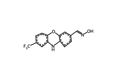 O/N=C/c1ccc2c(c1)Oc1ccc(C(F)(F)F)cc1N2